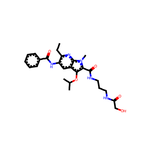 CCc1nc2c(cc1NC(=O)c1ccccc1)c(OC(C)C)c(C(=O)NCCCNC(=O)CO)n2C